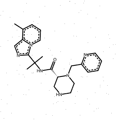 Cc1cccn2c(C(C)(C)NC(=O)[C@H]3CNCCN3Cc3ccccn3)ncc12